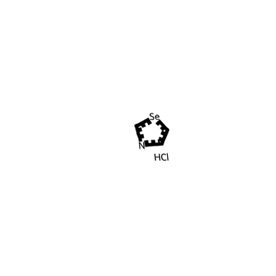 Cl.c1c[se]cn1